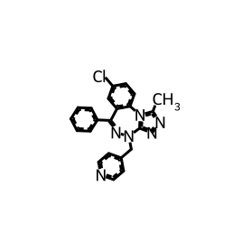 Cc1nnc2n1-c1ccc(Cl)cc1C(c1ccccc1)=NN2Cc1ccncc1